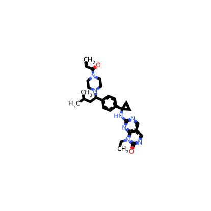 C=CC(=O)N1CCN(C(CC(C)C)c2ccc(C3(Nc4ncc5cnc(=O)n(CC)c5n4)CC3)cc2)CC1